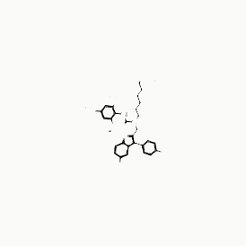 CCCCCCCN(Cc1oc2ccc(C)cc2c1-c1ccc(Cl)cc1)C(=O)Nc1c(OC)cc(OC)cc1OC